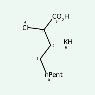 CCCCCCCC(Cl)C(=O)O.[KH]